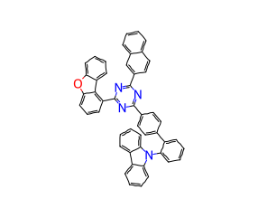 c1ccc(-n2c3ccccc3c3ccccc32)c(-c2ccc(-c3nc(-c4ccc5ccccc5c4)nc(-c4cccc5oc6ccccc6c45)n3)cc2)c1